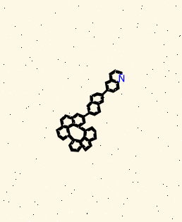 c1cnc2ccc(-c3ccc4cc(-c5cc6ccc7cccc8c9cccc%10ccc%11cccc(c(c5)c6c78)c%11c%109)ccc4c3)cc2c1